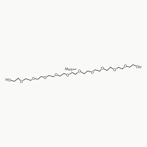 CSC.OCCOCCOCCOCCOCCOCCOCCOCCOCCOCCOCCO